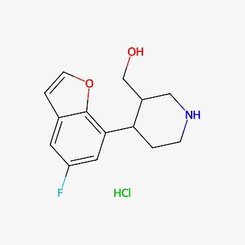 Cl.OCC1CNCCC1c1cc(F)cc2ccoc12